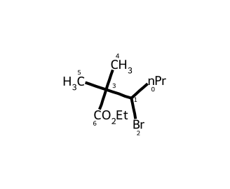 CCCC(Br)C(C)(C)C(=O)OCC